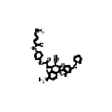 Cc1cc(Oc2ccccc2)ccc1C1(N)C(=O)C(N)c2c(C(=O)NC3CCC(NC(=O)/C=C/CN)CC3)sc3c(N)ccc1c23